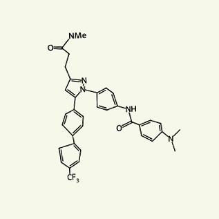 CNC(=O)CCc1cc(-c2ccc(-c3ccc(C(F)(F)F)cc3)cc2)n(-c2ccc(NC(=O)c3ccc(N(C)C)cc3)cc2)n1